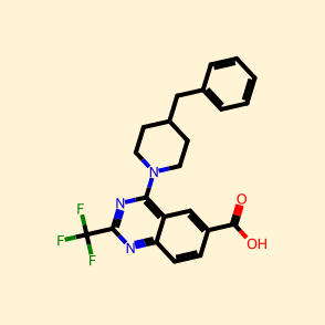 O=C(O)c1ccc2nc(C(F)(F)F)nc(N3CCC(Cc4ccccc4)CC3)c2c1